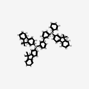 CC1(C)C2=CCCC=C2c2ccc(N(c3cccc(-c4cccc(N(c5ccccc5)c5ccc6c(c5)C(C)(C)c5ccccc5-6)c4)c3)c3ccc4c(c3)C(C)(C)c3ccccc3-4)cc21